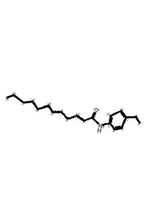 [CH2]Cc1ccc(NC(=O)CCCCCCCCCCC)cc1